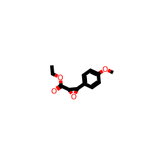 CCOC(=O)C1OC1c1ccc(OC)cc1